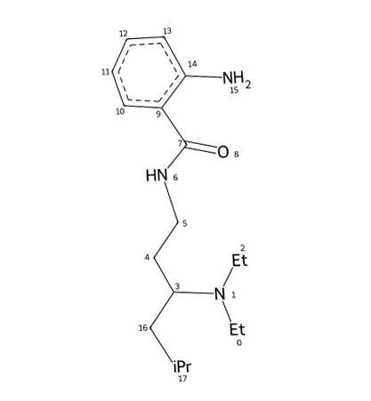 CCN(CC)C(CCNC(=O)c1ccccc1N)CC(C)C